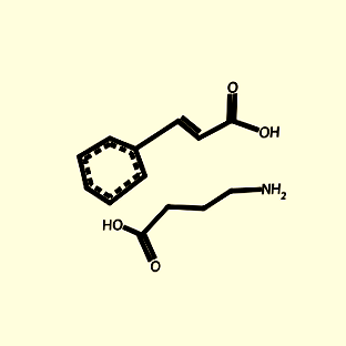 NCCCC(=O)O.O=C(O)C=Cc1ccccc1